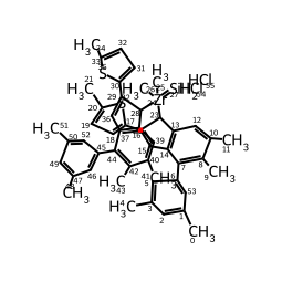 Cc1cc(C)cc(-c2c(C)c(C)cc3c2C=C(c2ccc(C)s2)[CH]3[Zr]([CH3])([CH3])(=[SiH2])[CH]2C(c3ccc(C)s3)=Cc3c2cc(C)c(C)c3-c2cc(C)cc(C)c2)c1.Cl.Cl